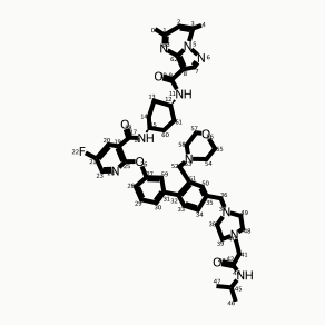 Cc1cc(C)n2ncc(C(=O)N[C@H]3CC[C@@H](NC(=O)c4cc(F)cnc4Oc4cccc(-c5ccc(CN6CCN(CC(=O)NC(C)C)CC6)cc5CN5CCOCC5)c4)CC3)c2n1